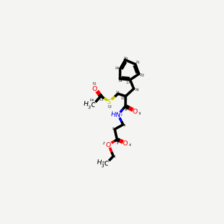 CCOC(=O)CCNC(=O)C(CSC(C)=O)Cc1ccccc1